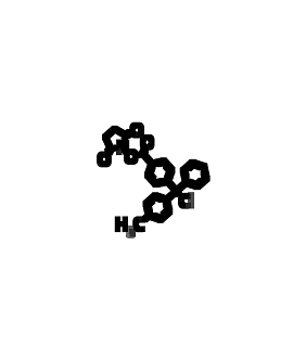 Cc1ccc(C(Cl)(c2ccccc2)c2ccc(C(=O)ON3C(=O)CCC3=O)cc2)cc1